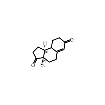 CC[C@]12CCC3=CC(=O)CCC3[C@@H]1CCC2=O